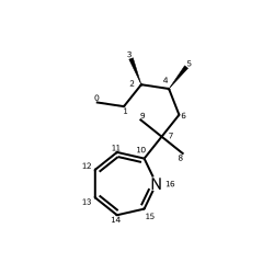 CC[C@@H](C)[C@@H](C)CC(C)(C)C1=C=CC=CC=N1